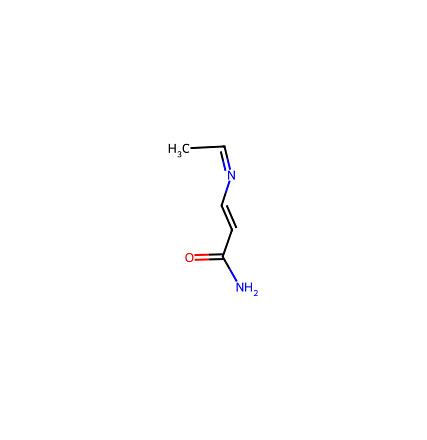 C/C=N\C=C\C(N)=O